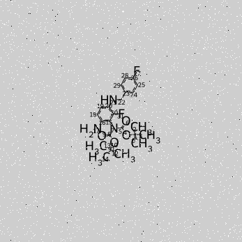 CC(C)(C)OC(=O)N(C(=O)OC(C)(C)C)c1c(N)ccc(NCc2ccc(F)cc2)c1F